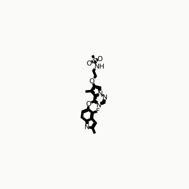 CC1=CC2=C(F)C(Oc3ncnn4cc(OCCNS(C)(=O)=O)c(C)c34)=CCC2=N1